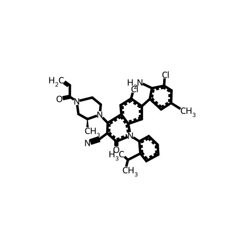 C=CC(=O)N1CCN(c2c(C#N)c(=O)n(-c3ccccc3C(C)C)c3cc(-c4cc(C)cc(Cl)c4N)c(Cl)cc23)[C@@H](C)C1